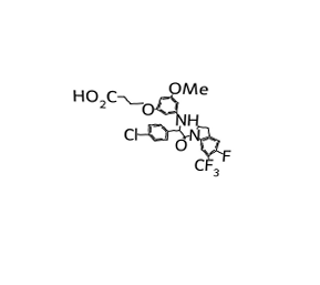 COc1cc(NC(C(=O)N2CCc3cc(F)c(C(F)(F)F)cc32)c2ccc(Cl)cc2)cc(OCCCC(=O)O)c1